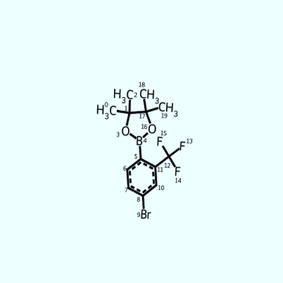 CC1(C)OB(c2ccc(Br)cc2C(F)(F)F)OC1(C)C